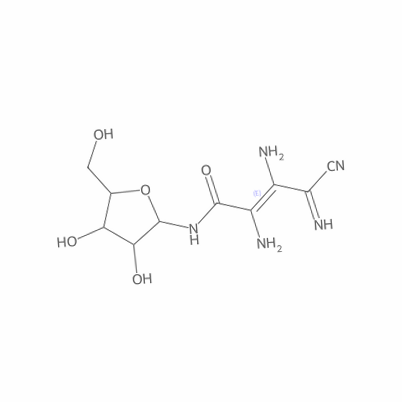 N#CC(=N)/C(N)=C(\N)C(=O)NC1OC(CO)C(O)C1O